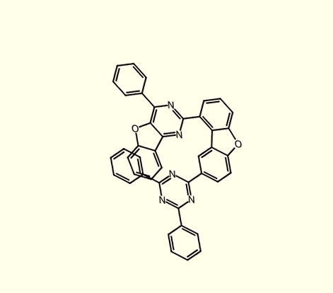 c1ccc(-c2nc(-c3ccccc3)nc(-c3ccc4oc5cccc(-c6nc(-c7ccccc7)c7oc8ccccc8c7n6)c5c4c3)n2)cc1